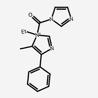 CC[N+]1(C(=O)n2ccnc2)C=NC(c2ccccc2)=C1C